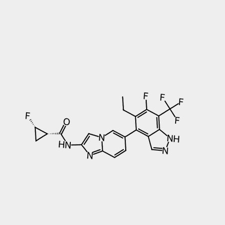 CCc1c(F)c(C(F)(F)F)c2[nH]ncc2c1-c1ccc2nc(NC(=O)[C@@H]3C[C@@H]3F)cn2c1